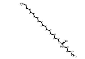 CCCCCCCCCCCCCCCCCCOC(=S)NCCSC